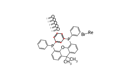 CC1(C)c2cccc(P(c3ccccc3)c3ccccc3)c2Oc2c(P(c3ccccc3)c3ccccc3)cccc21.[Br][Re].[C]=O.[C]=O.[C]=O.[C]=O.[C]=O